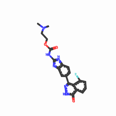 CN(C)CCOC(=O)Nc1nc2cc(-c3n[nH]c(=O)c4cccc(F)c34)ccc2[nH]1